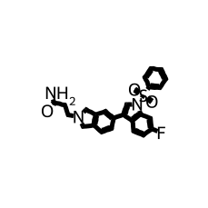 NC(=O)CCN1Cc2ccc(-c3cn(S(=O)(=O)c4ccccc4)c4cc(F)ccc34)cc2C1